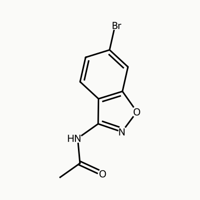 CC(=O)Nc1noc2cc(Br)ccc12